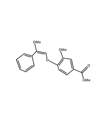 COC(=O)c1ccc(OC=C(OC)c2ccccc2)c(OC)c1